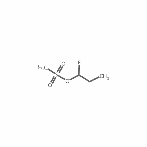 CCC(F)OS(C)(=O)=O